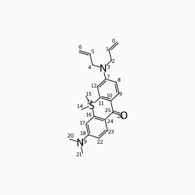 C=CCN(CC=C)c1ccc2c(c1)S(C)(C)c1cc(N(C)C)ccc1C2=O